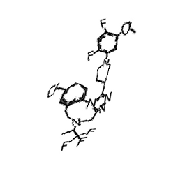 COc1cc(N2CCC(c3nnc4n3-c3ccc(Cl)cc3CN(C(C)C(F)(F)F)C4)CC2)c(F)cc1F